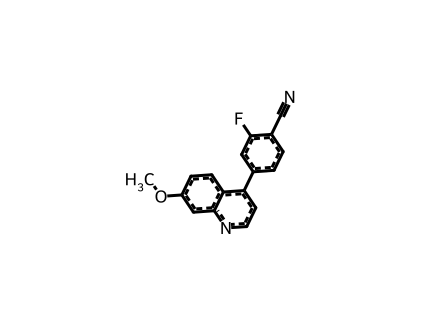 COc1ccc2c(-c3ccc(C#N)c(F)c3)ccnc2c1